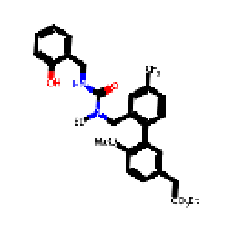 CCOC(=O)Cc1ccc(OC)c(-c2ccc(C(F)(F)F)cc2CN(CC)C(=O)NCc2ccccc2O)c1